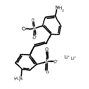 Nc1ccc(C=Cc2ccc(N)cc2S(=O)(=O)[O-])c(S(=O)(=O)[O-])c1.[Li+].[Li+]